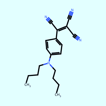 CCCCN(CCCC)c1ccc(C(C#N)=C(C#N)C#N)cc1